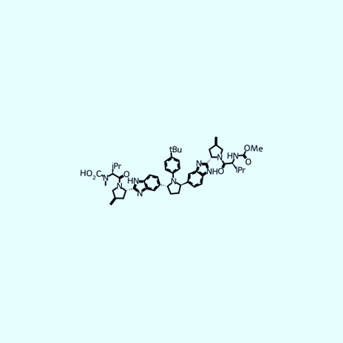 C=C1C[C@@H](c2nc3cc([C@H]4CC[C@H](c5ccc6[nH]c([C@@H]7CC(=C)CN7C(=O)[C@H](C(C)C)N(C)C(=O)O)nc6c5)N4c4ccc(C(C)(C)C)cc4)ccc3[nH]2)N(C(=O)[C@@H](NC(=O)OC)C(C)C)C1